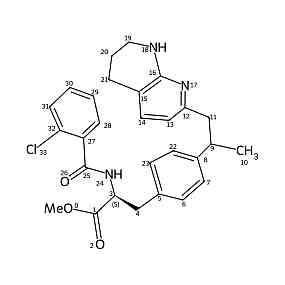 COC(=O)[C@H](Cc1ccc(C(C)Cc2ccc3c(n2)NCCC3)cc1)NC(=O)c1ccccc1Cl